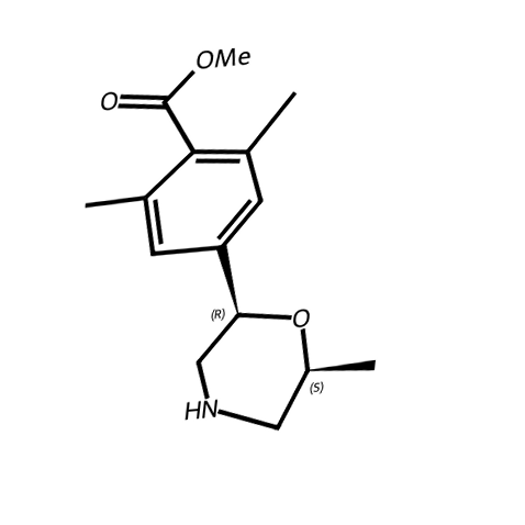 COC(=O)c1c(C)cc([C@@H]2CNC[C@H](C)O2)cc1C